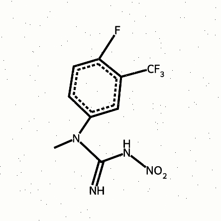 CN(C(=N)N[N+](=O)[O-])c1ccc(F)c(C(F)(F)F)c1